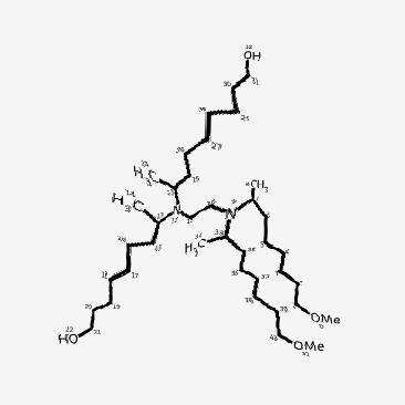 COCCCCCCC(C)N(CCN(C(C)CCCCCCCO)C(C)CCCCCCCO)C(C)CCCCCCOC